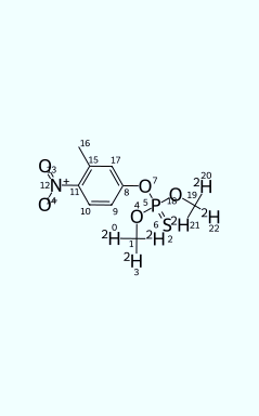 [2H]C([2H])([2H])OP(=S)(Oc1ccc([N+](=O)[O-])c(C)c1)OC([2H])([2H])[2H]